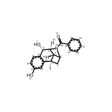 C[C@@]12CC3[C@H]1[C@@H]([C@@H](O)c1ccc(O)cc12)N3C(=O)c1ccccc1